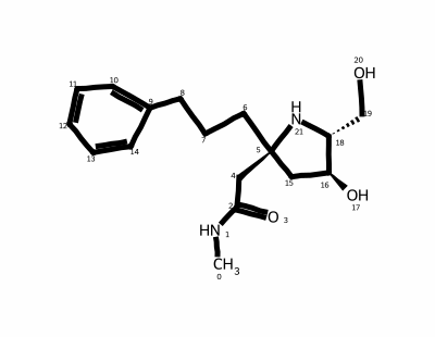 CNC(=O)C[C@]1(CCCc2ccccc2)C[C@H](O)[C@@H](CO)N1